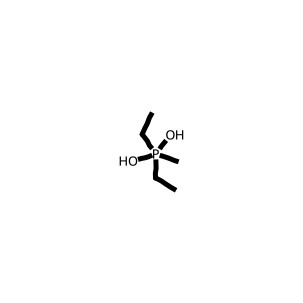 CCP(C)(O)(O)CC